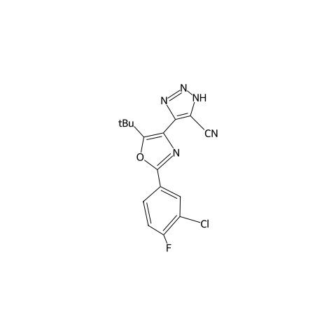 CC(C)(C)c1oc(-c2ccc(F)c(Cl)c2)nc1-c1nn[nH]c1C#N